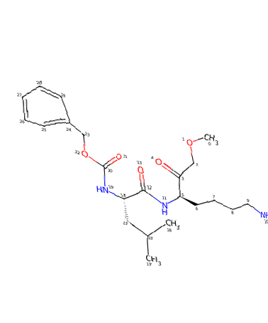 COCC(=O)[C@@H](CCCCN)NC(=O)[C@H](CC(C)C)NC(=O)OCc1ccccc1